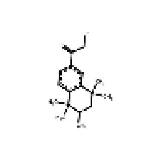 CC1CC(C)(C)c2cc(C(=O)CBr)ccc2C1(C)C